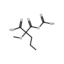 CCCC(OC)(C(=O)O)C(=O)OC(=O)O